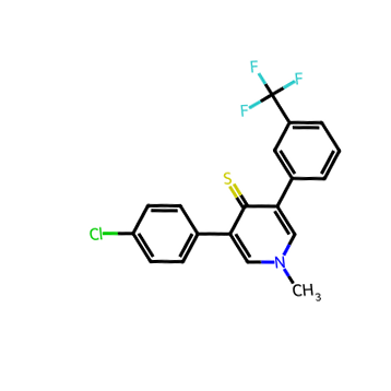 Cn1cc(-c2ccc(Cl)cc2)c(=S)c(-c2cccc(C(F)(F)F)c2)c1